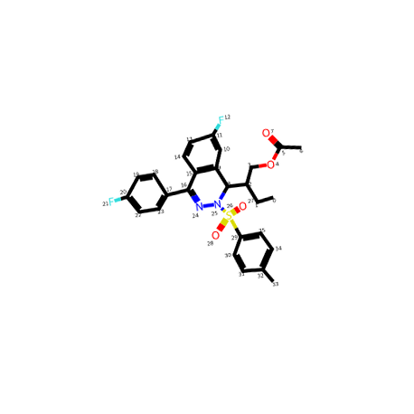 CCC(COC(C)=O)C1c2cc(F)ccc2C(c2ccc(F)cc2)=NN1S(=O)(=O)c1ccc(C)cc1